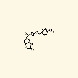 O=C1COC2CCN(C(=O)N3CC(OCc4ccc(C(F)(F)F)cc4C(F)(F)F)C3)CC2N1